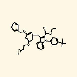 CCOC(=O)c1c(Cc2cc(OCCOC)cc(OCc3ccccc3)c2)c2ccccc2n1-c1ccc(C(C)(C)C)cc1